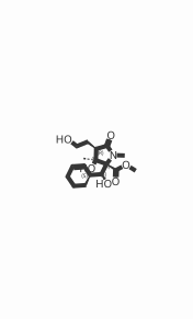 COC(=O)[C@]1([C@@H](O)[C@@H]2C=CCCC2)N(C)C(=O)[C@H](CCO)[C@]1(C)O